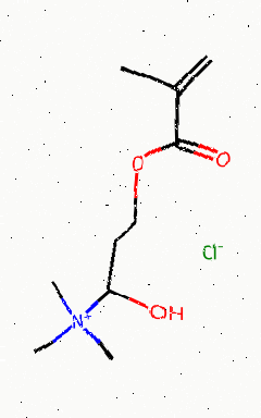 C=C(C)C(=O)OCCC(O)[N+](C)(C)C.[Cl-]